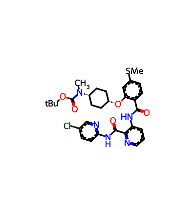 CSc1ccc(C(=O)Nc2cccnc2C(=O)Nc2ccc(Cl)cn2)c(O[C@H]2CC[C@@H](N(C)C(=O)OC(C)(C)C)CC2)c1